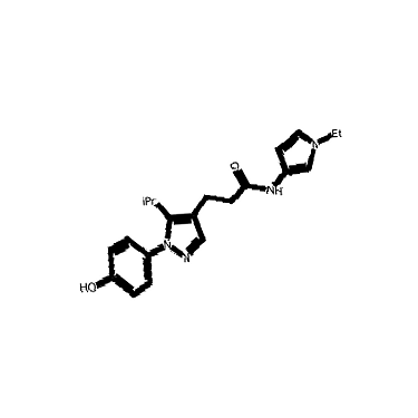 CCn1ccc(NC(=O)CCc2cnn(-c3ccc(O)cc3)c2C(C)C)c1